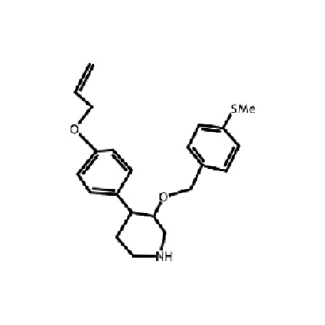 C=CCOc1ccc(C2CCNCC2OCc2ccc(SC)cc2)cc1